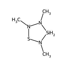 CN1[SiH2]N(C)N(C)S1